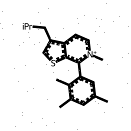 Cc1cc(C)c(C)c(-c2c3scc(CC(C)C)c3cc[n+]2C)c1